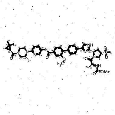 COC(=O)N[C@H](C(=O)N1C[C@@H](S(C)(=O)=O)C[C@H]1c1nc(-c2ccc(-c3ccc(C(=O)Nc4ccc(N5CCN(C(=O)[C@H]6CC6(C)C)C[C@H]5C)nc4)cc3OC(F)(F)F)cc2)c[nH]1)C(C)C